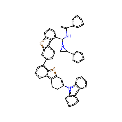 C=C(NC(c1cccc2sc3cc(-c4cccc5c6c(sc45)C=C(n4c5ccccc5c5ccccc54)CC6)ccc3c12)N1CC1c1ccccc1)c1ccccc1